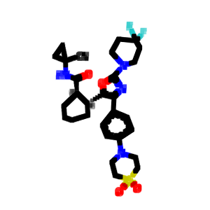 N#CC1(NC(=O)[C@@H]2CCCC[C@H]2c2oc(N3CCC(F)(F)CC3)nc2-c2ccc(N3CCS(=O)(=O)CC3)cc2)CC1